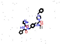 CCC(=O)N[C@H](Cc1ccc(CNC(=O)C(NC(=O)c2ccnn2C)C2CCCC2)cc1)C(=O)N1CCN(Cc2ccccc2)CC1